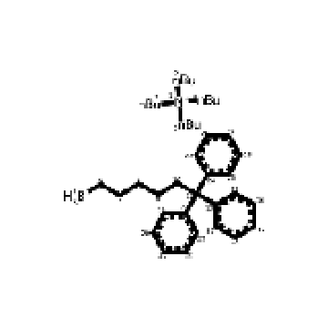 CCCC[N+](CCCC)(CCCC)CCCC.[BH3-]CCCCCC(c1ccccc1)(c1ccccc1)c1ccccc1